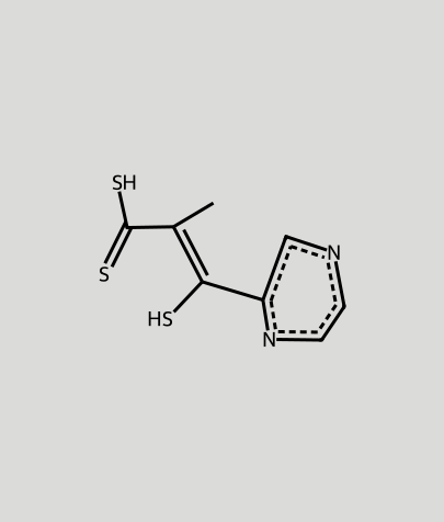 C/C(C(=S)S)=C(/S)c1cnccn1